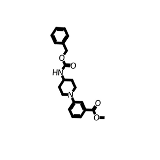 COC(=O)c1cccc(N2CCC(NC(=O)OCc3ccccc3)CC2)c1